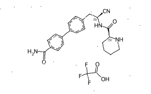 N#C[C@H](Cc1ccc(-c2ccc(C(N)=O)cc2)cc1)NC(=O)[C@@H]1CCCCN1.O=C(O)C(F)(F)F